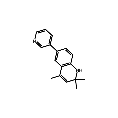 CC1=CC(C)(C)Nc2ccc(-c3cccnc3)cc21